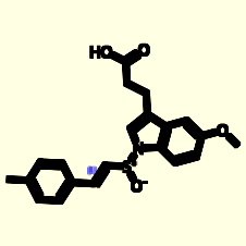 COc1ccc2c(c1)c(CCC(=O)O)cn2[S+]([O-])/C=C/c1ccc(C)cc1